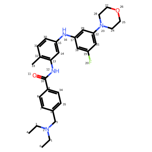 CCN(CC)Cc1ccc(C(=O)Nc2cc(Nc3cc(F)cc(N4CCOCC4)c3)ccc2C)cc1